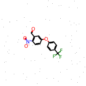 O=Cc1cc(Oc2ccc(C(F)(F)F)cc2)ccc1[N+](=O)[O-]